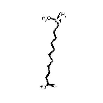 C[SiH](C)CCCCCCCCCCC(=O)O